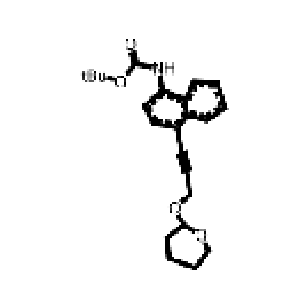 CC(C)(C)OC(=O)Nc1ccc(C#CCOC2CCCCO2)c2ccccc12